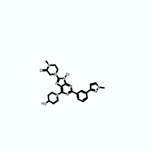 CCn1c(N2CCN(C)C(=O)C2)nc2c(N3CCC(O)CC3)nc(-c3cccc(-c4ccn(C)n4)c3)nc21